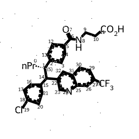 CCC[C@H](c1ccc(C(=O)NCCC(=O)O)cc1)C(c1ccc(Cl)cc1)c1cnc2cc(C(F)(F)F)ccc2c1